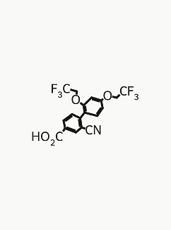 N#Cc1cc(C(=O)O)ccc1-c1ccc(OCC(F)(F)F)cc1OCC(F)(F)F